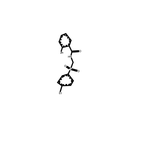 CCc1ccc(S(=O)(=O)CNC(=O)c2ccccc2C(C)C)cc1